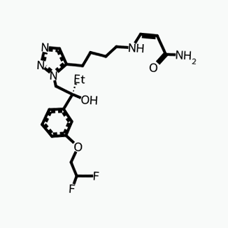 CC[C@@](O)(Cn1nncc1CCCCN/C=C\C(N)=O)c1cccc(OCC(F)F)c1